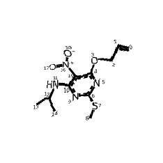 C=CCOc1nc(SC)nc(NC(C)C)c1[N+](=O)[O-]